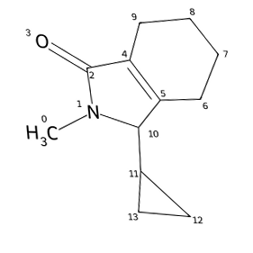 CN1C(=O)C2=C(CCCC2)C1C1CC1